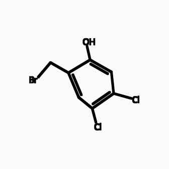 Oc1cc(Cl)c(Cl)cc1CBr